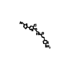 CC(=O)c1ccc(-c2cnc(OCCNC(=O)C=Cc3ccc(N)nc3)c(Cl)c2)s1